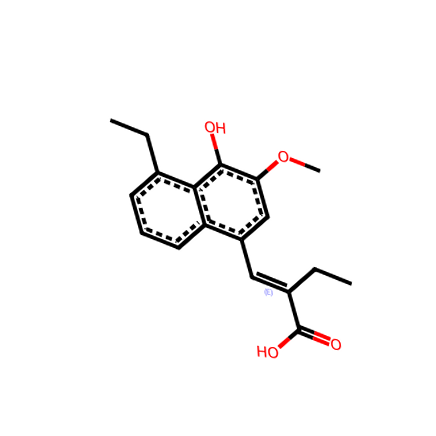 CC/C(=C\c1cc(OC)c(O)c2c(CC)cccc12)C(=O)O